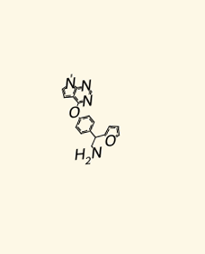 Cn1ccc2c(Oc3ccc(C(CN)c4ccco4)cc3)ncnc21